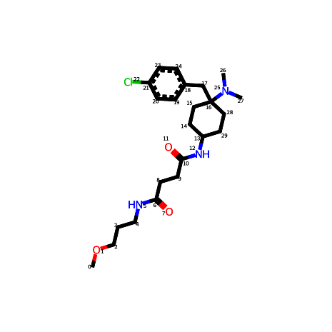 COCCCNC(=O)CCC(=O)NC1CCC(Cc2ccc(Cl)cc2)(N(C)C)CC1